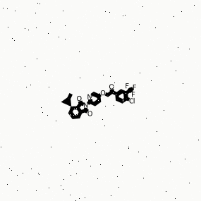 CC1CC1[C@H]1C=CCC2C(=O)N(c3ccc(OCC(=O)c4ccc(Cl)c(C(F)(F)F)c4)cn3)C(=O)C21